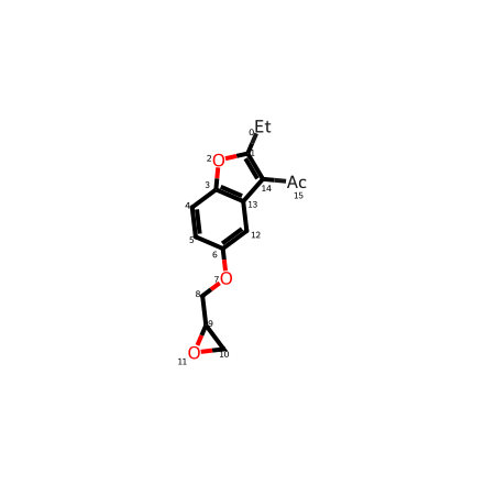 CCc1oc2ccc(OCC3CO3)cc2c1C(C)=O